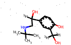 [2H]C([2H])(O)c1cc(C([2H])(O)CNC(C)(C)C)ccc1O